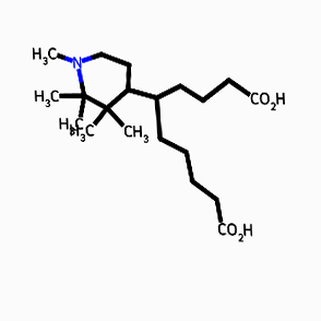 CN1CCC(C(CCCCC(=O)O)CCCC(=O)O)C(C)(C)C1(C)C